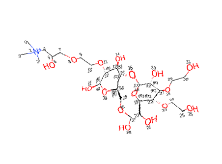 C[N+](C)(C)CC(O)COCCO[C@@H]1[C@@H](O)[C@H](OC2O[C@H](CO)[C@@H](OCCO)[C@H](OCCO)[C@H]2O)[C@@H](COCO)O[C@H]1O